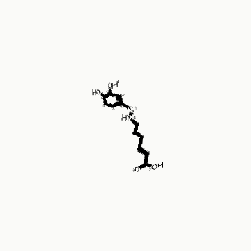 O=C(O)CCCCCNSc1ccc(O)c(O)c1